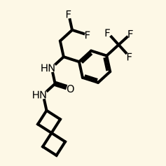 O=C(NC1CC2(CCC2)C1)NC(CC(F)F)c1cccc(C(F)(F)F)c1